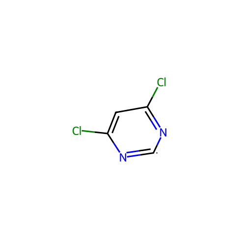 Clc1cc(Cl)n[c]n1